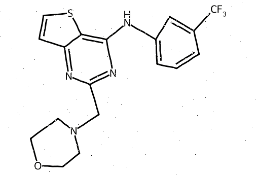 FC(F)(F)c1cccc(Nc2nc(CN3CCOCC3)nc3ccsc23)c1